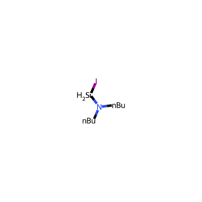 CCCCN(CCCC)[SiH2]I